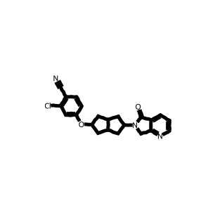 N#Cc1ccc(OC2CC3CC(N4Cc5ncccc5C4=O)CC3C2)cc1Cl